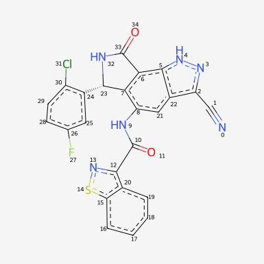 N#Cc1n[nH]c2c3c(c(NC(=O)c4nsc5ccccc45)cc12)[C@H](c1cc(F)ccc1Cl)NC3=O